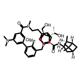 COc1c(CN2O[C@@H](CO)[C@H]([C@H](C)O)[C@H]2C(=O)N[C@H]2C[C@H]3C[C@@H]([C@@H]2C)C3(C)C)cccc1-c1cc(C(=O)N(C)CCc2ccccc2)cc(N(C)C)c1